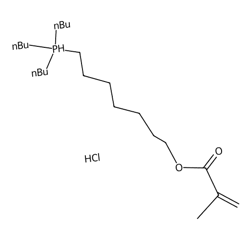 C=C(C)C(=O)OCCCCCCC[PH](CCCC)(CCCC)CCCC.Cl